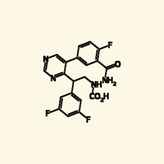 NC(=O)c1cc(-c2cncnc2C(CNC(=O)O)c2cc(F)cc(F)c2)ccc1F